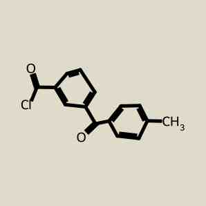 Cc1ccc(C(=O)c2cccc(C(=O)Cl)c2)cc1